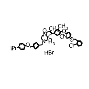 Br.CC(C(=O)N1CCN(Cc2ccc(COc3ccc(C(C)C)cc3)cc2)CC1)=C(C)c1cc(C)c(Oc2ccc(OCc3ccccc3Cl)cn2)c(Cl)c1